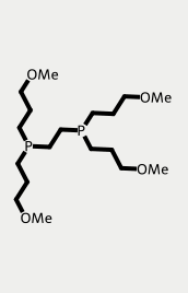 COCCCP(CCCOC)CCP(CCCOC)CCCOC